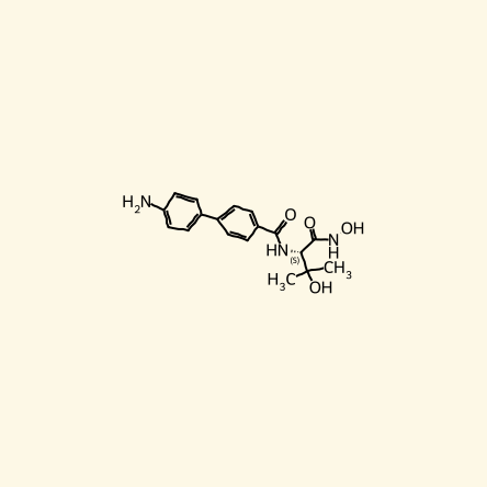 CC(C)(O)[C@H](NC(=O)c1ccc(-c2ccc(N)cc2)cc1)C(=O)NO